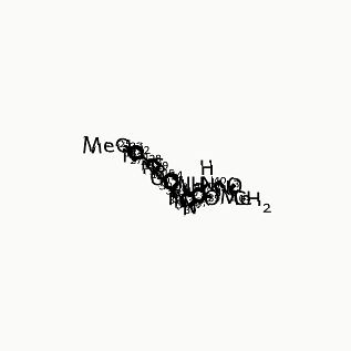 C=CC(=O)N1CC(Nc2cc3c(Nc4ccc(Oc5nc(-c6ccc(OC)nc6)cs5)cc4F)ncnc3cc2OC)C1